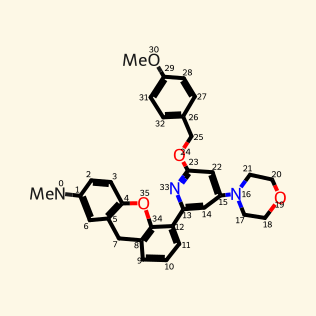 CNc1ccc2c(c1)Cc1cccc(-c3cc(N4CCOCC4)cc(OCc4ccc(OC)cc4)n3)c1O2